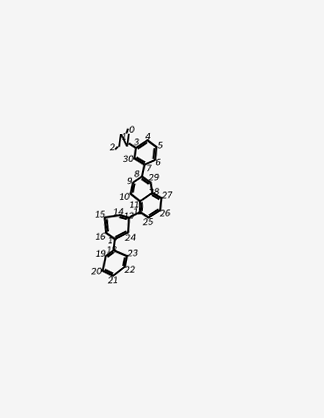 CN(C)c1cccc(-c2ccc3c(-c4cccc(-c5ccccc5)c4)cccc3c2)c1